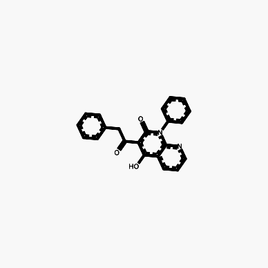 O=C(Cc1ccccc1)c1c(O)c2cccnc2n(-c2ccccc2)c1=O